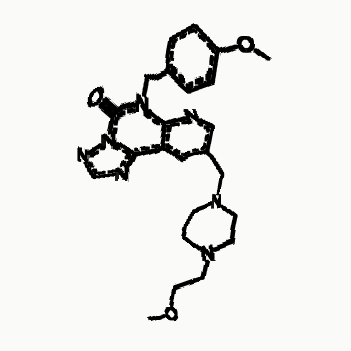 COCCN1CCN(Cc2cnc3c(c2)c2ncnn2c(=O)n3Cc2ccc(OC)cc2)CC1